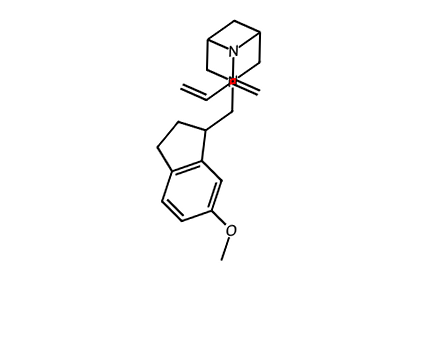 C=CC(=C)N1C2CC1CN(CC1CCc3ccc(OC)cc31)C2